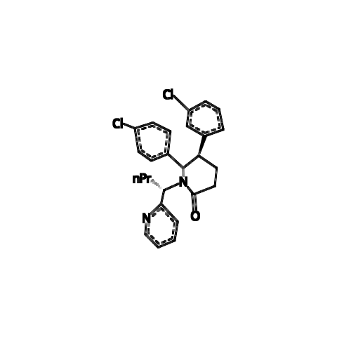 CCC[C@@H](c1ccccn1)N1C(=O)CC[C@H](c2cccc(Cl)c2)C1c1ccc(Cl)cc1